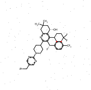 CC(C)Cc1cnc(N2CCC(c3nc4c(c(C5CCC(F)(F)CC5)c3[C@@H](F)c3ccc(C(F)(F)F)cc3)[C@@H](O)CC(C)(C)C4)CC2)nc1